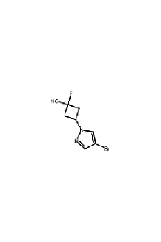 N#CC1(F)CC(n2cc(Br)cn2)C1